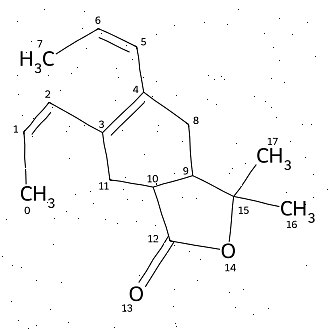 C/C=C\C1=C(/C=C\C)CC2C(C1)C(=O)OC2(C)C